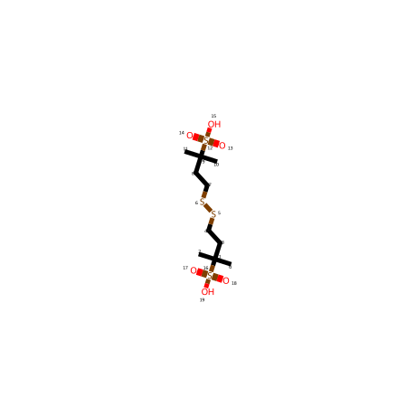 CC(C)(CCSSCCC(C)(C)S(=O)(=O)O)S(=O)(=O)O